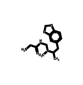 CC(Cc1ccc2c(c1)OCO2)N(C)CNC(=O)CN